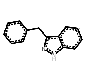 [c]1ccc2[nH]nc(Cc3ccccc3)c2c1